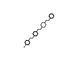 Fc1ccc(CCc2ccc(CCC3CCC(CCc4ccccc4)CC3)cc2)cc1